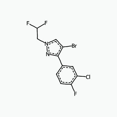 Fc1ccc(-c2nn(CC(F)F)cc2Br)cc1Cl